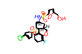 O=S(=O)(N[C@@H]1CC[C@@]2(S(=O)(=O)c3ccc(Cl)cc3)c3c(F)ccc(F)c3OC[C@H]2C1)c1ccc(CO)o1